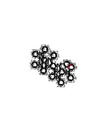 c1ccc(CN2c3cc4c(cc3B3c5ccccc5N(c5ccccc5)c5cc(N(c6ccccc6)c6ccccc6)cc2c53)B2c3ccccc3N(c3ccccc3)c3nc(N(c5ccccc5)c5ccccc5)cc(c32)N4c2ccccc2)cc1